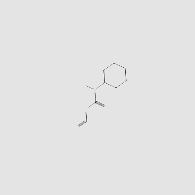 C=COC(=O)N(C)C1CCCCC1